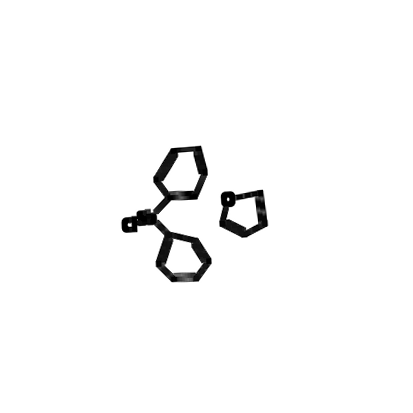 [Cl][Sb]([c]1ccccc1)[c]1ccccc1.c1ccoc1